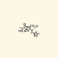 CC(O)[C@H]1C(=O)N2C(C(=O)O)=C(/C=C/c3cccs3)S[C@H]12